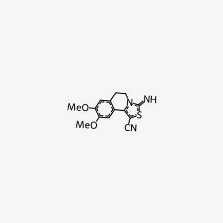 COc1cc2c(cc1OC)-c1c(C#N)sc(=N)n1CC2